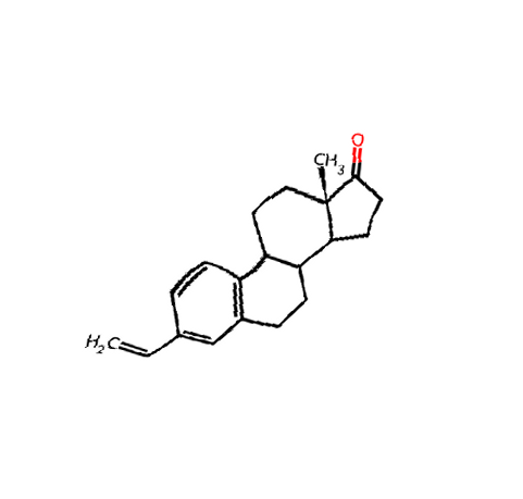 C=Cc1ccc2c(c1)CCC1C2CC[C@]2(C)C(=O)CCC12